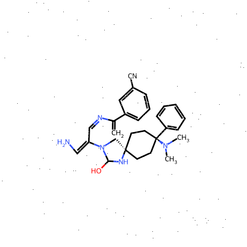 C=C(/N=C\C(=C/N)N1C[C@]2(CC[C@](c3ccccc3)(N(C)C)CC2)NC1O)c1cccc(C#N)c1